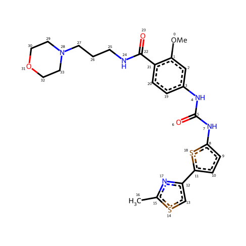 COc1cc(NC(=O)Nc2ccc(-c3csc(C)n3)s2)ccc1C(=O)NCCCN1CCOCC1